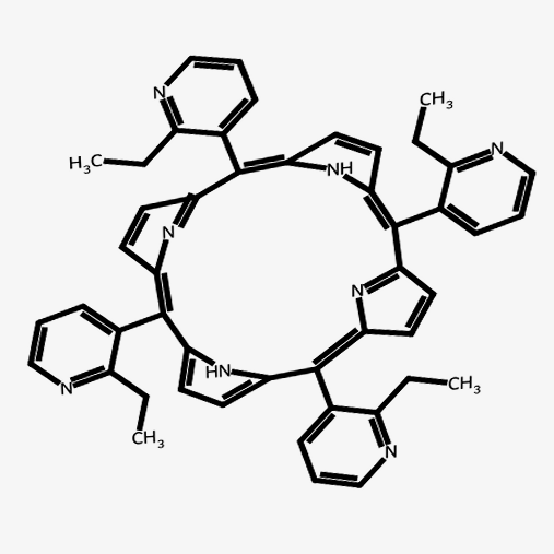 CCc1ncccc1-c1c2nc(c(-c3cccnc3CC)c3ccc([nH]3)c(-c3cccnc3CC)c3nc(c(-c4cccnc4CC)c4ccc1[nH]4)C=C3)C=C2